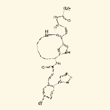 COC(=O)Nc1ccc2c(c1)NCCCCCC(NC(=O)C=Cc1cc(Cl)ccc1-n1cnnn1)c1nc-2c[nH]1